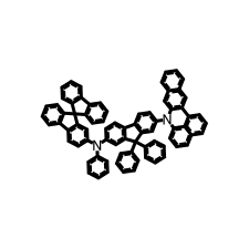 c1ccc(N(c2ccc3c(c2)C(c2ccccc2)(c2ccccc2)c2cc(N4c5cc6ccccc6cc5-c5cccc6cccc4c56)ccc2-3)c2ccc3c(c2)C2(c4ccccc4-c4ccccc42)c2ccccc2-3)cc1